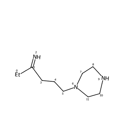 CCC(=N)CCCN1CCNCC1